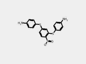 Nc1ccc(Sc2ccc([N+](=O)[O-])c(Sc3ccc(N)cc3)c2)cc1